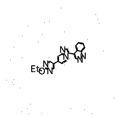 CCOc1ncc(-c2ccn3c(-c4cnnc5ccccc45)cnc3c2)cn1